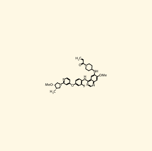 C=CC(=O)N1CCC(Nc2cc3c(Nc4ccc(Oc5ccnc(N6C[C@H](C)[C@H](OC)C6)c5)cc4F)ncnc3cc2OC)CC1